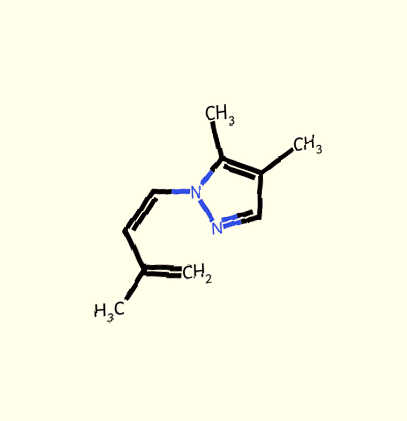 C=C(C)/C=C\n1ncc(C)c1C